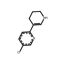 Clc1ccc(C2=CNCCC2)nc1